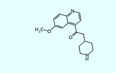 COc1ccc2nccc(C(=O)CC3CCNCC3)c2c1